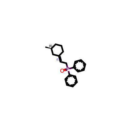 C[C@H]1CCC/C(=C\CP(=O)(c2ccccc2)c2ccccc2)C1